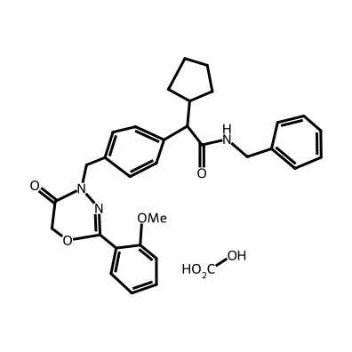 COc1ccccc1C1=NN(Cc2ccc(C(C(=O)NCc3ccccc3)C3CCCC3)cc2)C(=O)CO1.O=C(O)O